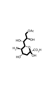 CC(=O)OC[C@@H](O)[C@@H](O)[C@@H]1O[C@](O)(C(=O)O)C[C@H](O)[C@H]1N